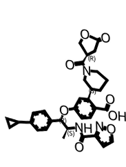 C[C@H](NC(=O)c1ccon1)[C@H](Oc1ccc(C(=O)O)c([C@@H]2CCCN(C(=O)[C@H]3COC(=O)C3)C2)c1)c1ccc(C2CC2)cc1